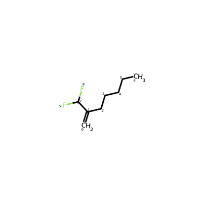 C=C(CCCCC)[C](F)F